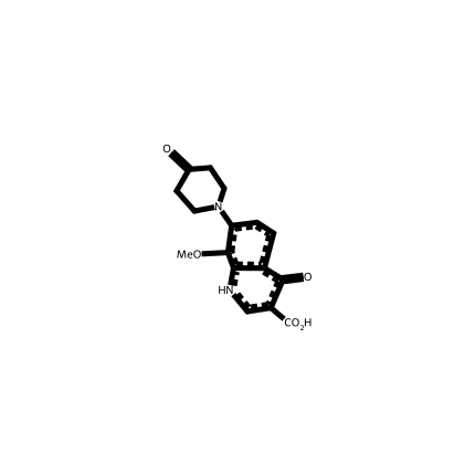 COc1c(N2CCC(=O)CC2)ccc2c(=O)c(C(=O)O)c[nH]c12